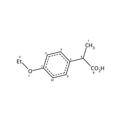 CCOc1ccc(C(C)C(=O)O)cc1